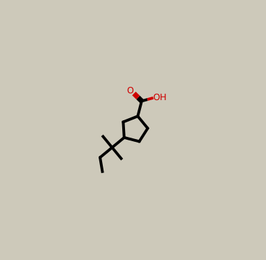 CCC(C)(C)C1CCC(C(=O)O)C1